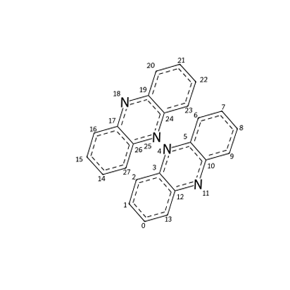 c1ccc2nc3ccccc3nc2c1.c1ccc2nc3ccccc3nc2c1